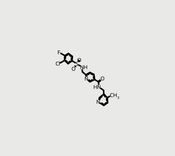 Cc1ccncc1CNC(=O)c1ccc(CNS(=O)(=O)c2ccc(F)c(Cl)c2)nc1